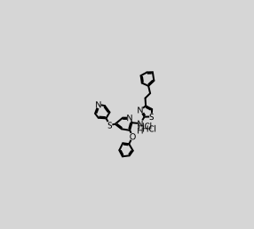 Cl.Cl.c1ccc(CCc2csc(Nc3ncc(Sc4ccncc4)cc3Oc3ccccc3)n2)cc1